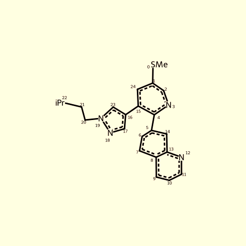 CSc1cnc(-c2ccc3cccnc3c2)c(-c2cnn(CCC(C)C)c2)c1